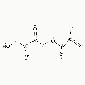 C=C(C)C(=O)OCC(=O)C(O)CO